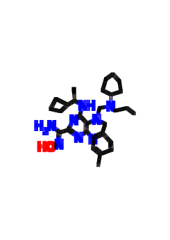 C=Nc1nc(/C(N)=N/O)nc(N[C@H](C)C2CCC2)c1N(Cc1ccc(C)cc1)CN(CCC)C1CCCCC1